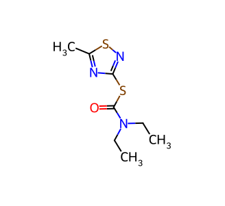 CCN(CC)C(=O)Sc1nsc(C)n1